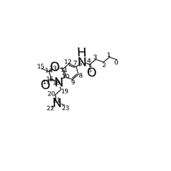 CCCCC(=O)Nc1ccc2c(c1)OC(C)C(=O)N2CCN(C)C